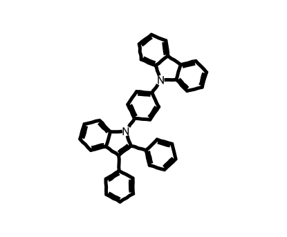 c1ccc(-c2c(-c3ccccc3)n(-c3ccc(-n4c5ccccc5c5ccccc54)cc3)c3ccccc23)cc1